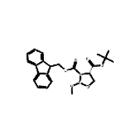 COP1OC[C@@H](C(=O)OC(C)(C)C)N1C(=O)OCC1c2ccccc2-c2ccccc21